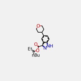 CCCC[C@@H](CC)OC(=O)c1n[nH]c2ccc(C3CCOCC3)cc12